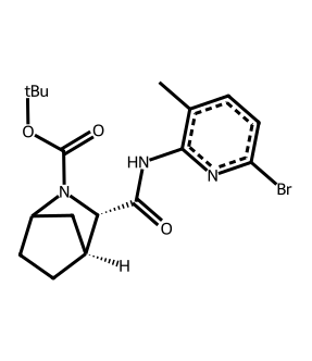 Cc1ccc(Br)nc1NC(=O)[C@@H]1[C@H]2CCC(C2)N1C(=O)OC(C)(C)C